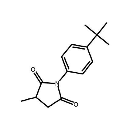 CC1CC(=O)N(c2ccc(C(C)(C)C)cc2)C1=O